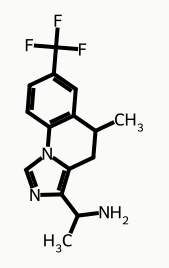 CC(N)c1ncn2c1CC(C)c1cc(C(F)(F)F)ccc1-2